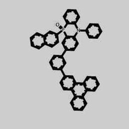 O=P1(c2ccc3ccccc3c2)c2ccccc2N(c2ccccc2)c2ccc(-c3cccc(-c4ccc5c6ccccc6c6ccccc6c5c4)c3)cc21